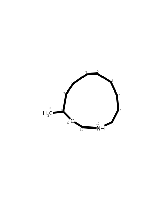 CC1CCCCCCCCNCC1